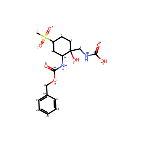 CS(=O)(=O)C1CCC(O)(CNC(=O)O)C(NC(=O)OCc2ccccc2)C1